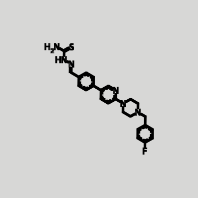 NC(=S)NN=Cc1ccc(-c2ccc(N3CCN(Cc4ccc(F)cc4)CC3)nc2)cc1